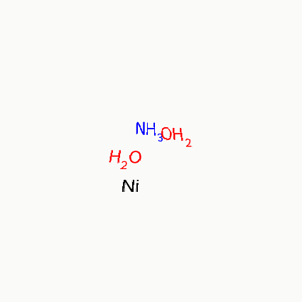 N.O.O.[Ni]